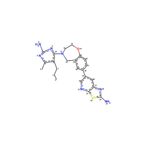 CCCc1c(C)nc(N)nc1N1CCOc2ccc(-c3cnc4sc(N)nc4c3)cc2C1